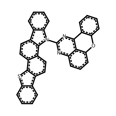 c1ccc2c(c1)Oc1cccc3nc(-n4c5ccccc5c5ccc6c(ccc7c8ccccc8sc76)c54)nc-2c13